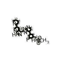 CS(=O)(=O)NCc1cc(F)cc(-c2ccnc3[nH]c(-c4n[nH]c5ncc(-c6ccccn6)cc45)nc23)c1